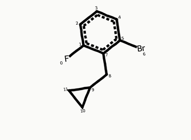 Fc1cccc(Br)c1CC1CC1